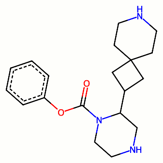 O=C(Oc1ccccc1)N1CCNCC1C1CC2(CCNCC2)C1